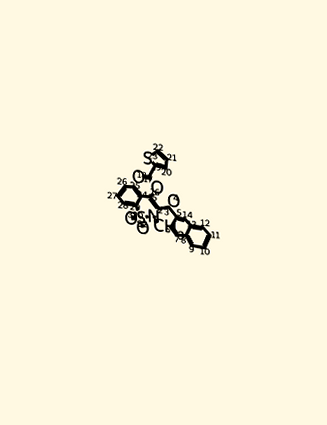 CN1C(C(=O)c2ccc3ccccc3c2)=C(OC(=O)c2cccs2)c2ccccc2S1(=O)=O